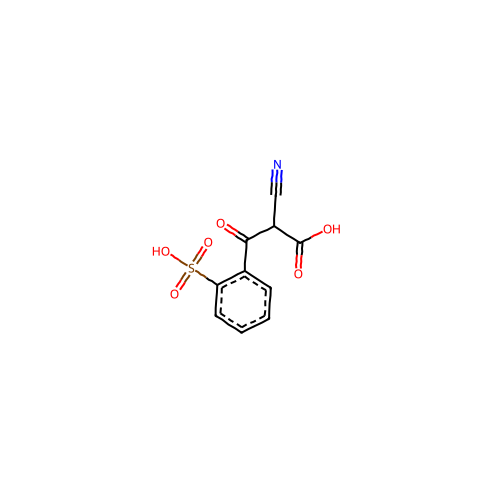 N#CC(C(=O)O)C(=O)c1ccccc1S(=O)(=O)O